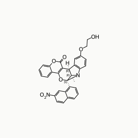 C[C@]12[C@@H]3c4cc(OCCO)ccc4N1[C@@]2(c1cccc2ccc([N+](=O)[O-])cc12)Oc1c3c(=O)oc2ccccc12